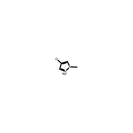 Cn1cc([O-])cn1.[Na+]